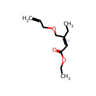 C=CCOC/C(=C\C(=O)OCC)CC